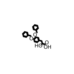 O=C(O)[C@H](O)Cc1ccc(OCc2ccccc2)c(OCc2ccccc2)c1